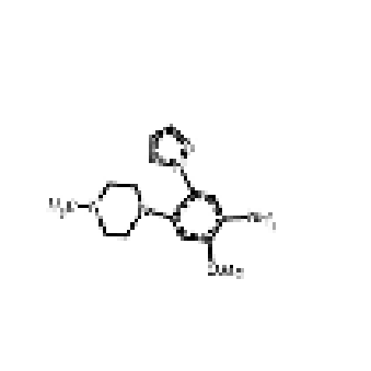 COc1cc(N2CCN(C)CC2)c(-n2cccn2)cc1N